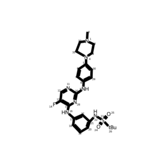 CN1CCN(c2ccc(Nc3ncc(F)c(Nc4cccc(NS(=O)(=O)C(C)(C)C)c4)n3)cc2)CC1